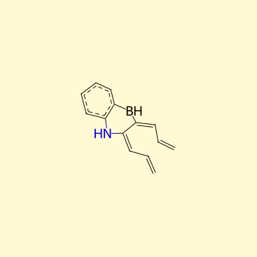 C=C/C=C1/Bc2ccccc2N/C1=C/C=C